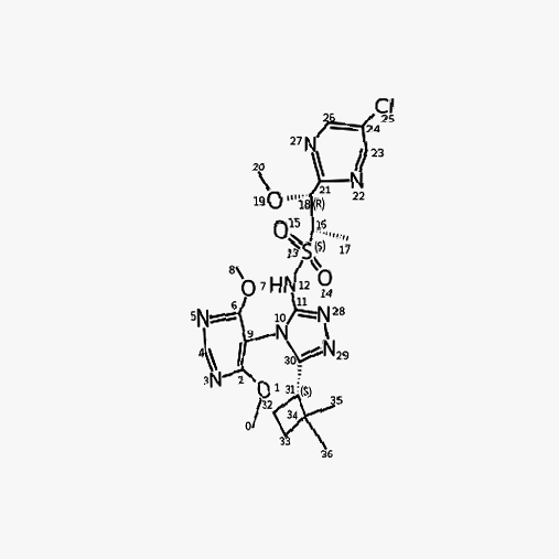 COc1ncnc(OC)c1-n1c(NS(=O)(=O)[C@@H](C)[C@H](OC)c2ncc(Cl)cn2)nnc1[C@H]1CCC1(C)C